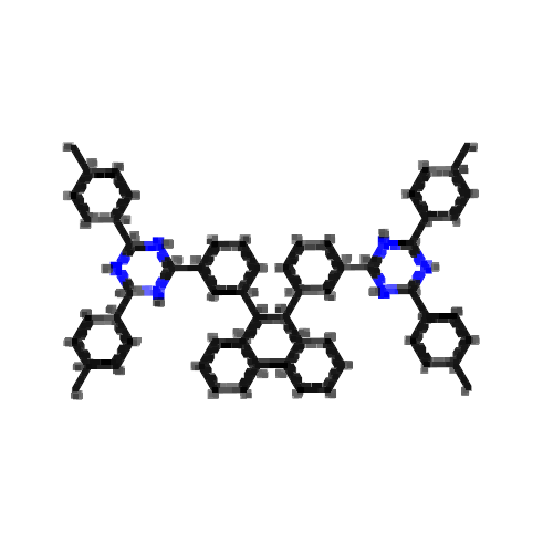 Cc1ccc(-c2nc(-c3ccc(C)cc3)nc(-c3cccc(-c4c(-c5cccc(-c6nc(-c7ccc(C)cc7)nc(-c7ccc(C)cc7)n6)c5)c5ccccc5c5ccccc45)c3)n2)cc1